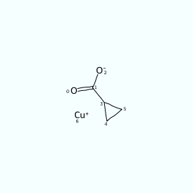 O=C([O-])C1CC1.[Cu+]